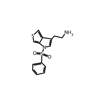 NCCc1cn(S(=O)(=O)c2ccccc2)c2cscc12